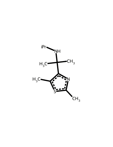 Cc1nc(C(C)(C)NC(C)C)c(C)s1